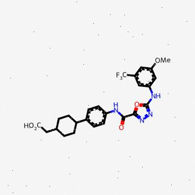 COc1cc(Nc2nnc(C(=O)Nc3ccc(C4CCC(CC(=O)O)CC4)cc3)o2)cc(C(F)(F)F)c1